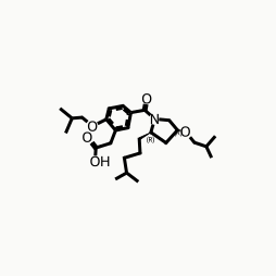 CC(C)CCC[C@@H]1C[C@@H](OCC(C)C)CN1C(=O)c1ccc(OCC(C)C)c(CC(=O)O)c1